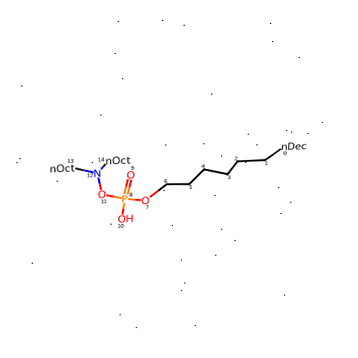 CCCCCCCCCCCCCCCCOP(=O)(O)ON(CCCCCCCC)CCCCCCCC